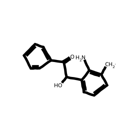 [CH2]c1cccc(C(O)C(=O)c2ccccc2)c1N